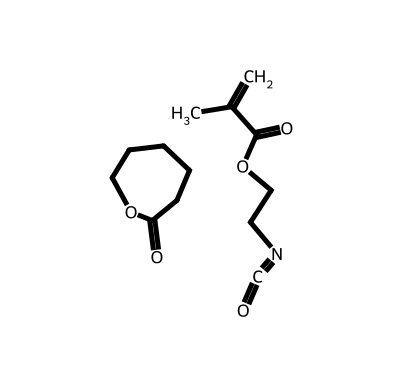 C=C(C)C(=O)OCCN=C=O.O=C1CCCCCO1